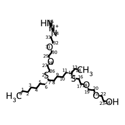 CCCCCCC[C@@H](CCCC[C@@H](CC)SCCOCCOCCO)SCCOCCOCCN=[N+]=N